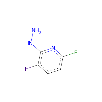 NNc1nc(F)ccc1I